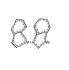 c1ccc2[nH]ccc2c1.c1ccc2[nH]cnc2c1